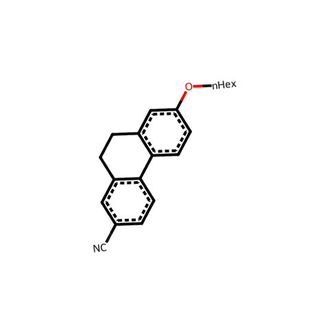 CCCCCCOc1ccc2c(c1)CCc1cc(C#N)ccc1-2